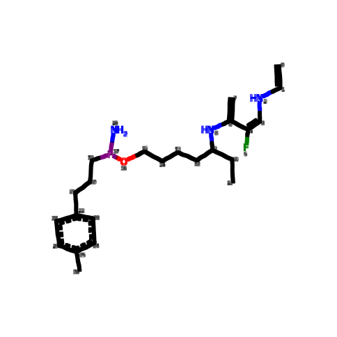 C=CN/C=C(/F)C(=C)NC(CC)CCCCOP(N)CCCc1ccc(C)cc1